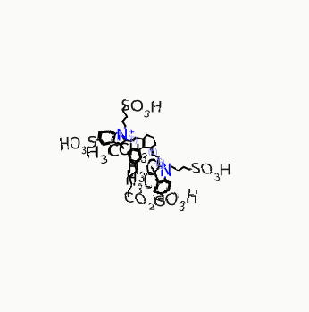 CC1(C)C(/C=C/C2=C(c3cccc(CCCCC(=O)O)c3)C(=C/C=C3/N(CCCCS(=O)(=O)O)c4ccc(S(=O)(=O)O)cc4C3(C)C)/CCC2)=[N+](CCCCS(=O)(=O)O)c2ccc(S(=O)(=O)O)cc21